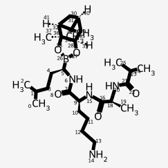 CC(C)CC[C@H](NC(=O)[C@H](CCCCN)NC(=O)[C@H](C)NC(=O)C(C)C)B1O[C@@H]2C[C@@H]3C[C@@H](C3(C)C)[C@]2(C)O1